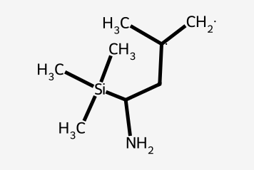 [CH2][C](C)CC(N)[Si](C)(C)C